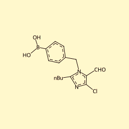 CCCCc1nc(Cl)c(C=O)n1Cc1ccc(B(O)O)cc1